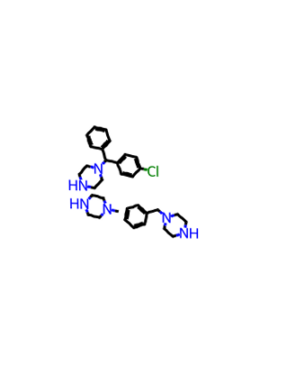 CN1CCNCC1.Clc1ccc(C(c2ccccc2)N2CCNCC2)cc1.c1ccc(CN2CCNCC2)cc1